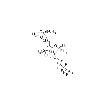 CO[Si](CCCC(C[Si](C)(C)C)C(CCOCCC(F)(F)C(F)(F)C(F)(F)C(F)(F)F)O[Si](C)(C)C)(OC)OC